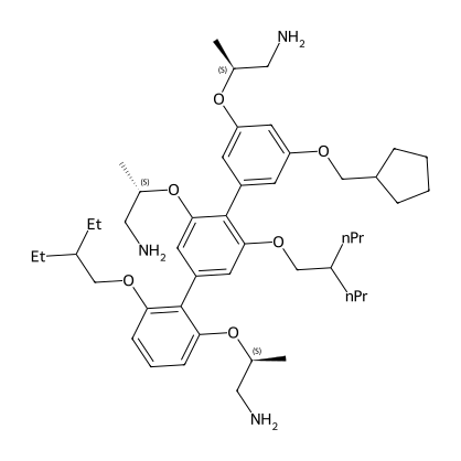 CCCC(CCC)COc1cc(-c2c(OCC(CC)CC)cccc2O[C@@H](C)CN)cc(O[C@@H](C)CN)c1-c1cc(OCC2CCCC2)cc(O[C@@H](C)CN)c1